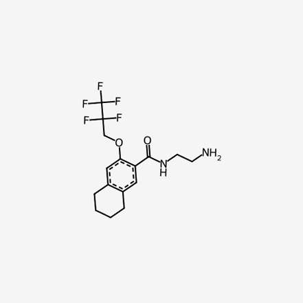 NCCNC(=O)c1cc2c(cc1OCC(F)(F)C(F)(F)F)CCCC2